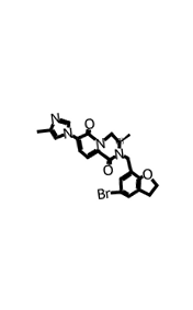 Cc1cn(-c2ccc3n(c2=O)C[C@@H](C)N(Cc2cc(Br)cc4c2OCC4)C3=O)cn1